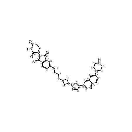 O=C1CCC(N2C(=O)c3ccc(NCCCC4CC(n5cc(-c6cnc7ccc(N8CCNCC8)cc7n6)cn5)C4)cc3C2=O)C(=O)N1